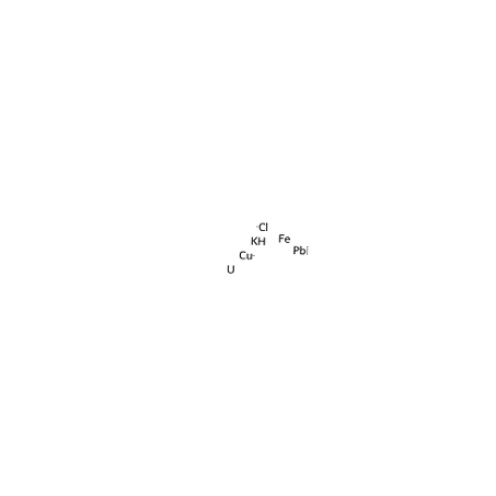 [Cl].[Cu].[Fe].[KH].[Pb].[U]